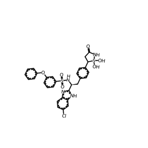 O=C1CC(c2ccc(C[C@H](NS(=O)(=O)c3cccc(Oc4ccccc4)c3)c3nc4ccc(Cl)cc4[nH]3)cc2)S(O)(O)N1